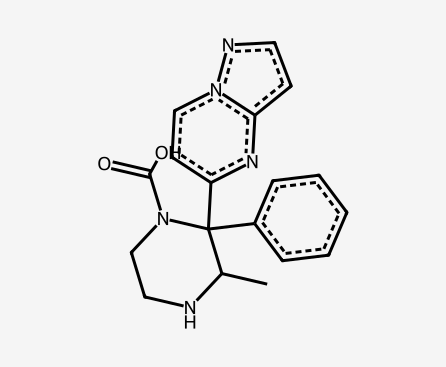 CC1NCCN(C(=O)O)C1(c1ccccc1)c1ccn2nccc2n1